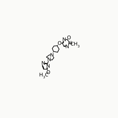 COc1ccnc(N2CCN([C@H]3CC[C@H](Oc4cnn(C)c(=O)n4)CC3)CC2)n1